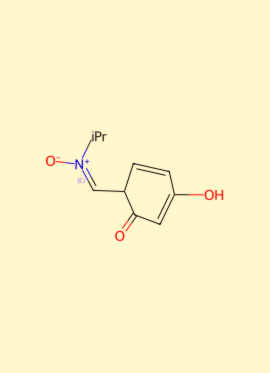 CC(C)/[N+]([O-])=C\C1C=CC(O)=CC1=O